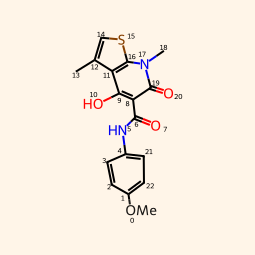 COc1ccc(NC(=O)c2c(O)c3c(C)csc3n(C)c2=O)cc1